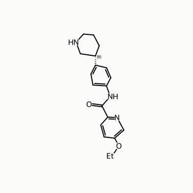 CCOc1ccc(C(=O)Nc2ccc([C@H]3CCCNC3)cc2)nc1